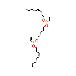 C=CP(OCC/C=C\CCCC)OCCCCCOP(C=C)OCC/C=C\CCCC